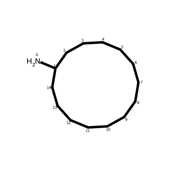 NC1CCCCCCCCCCCCC1